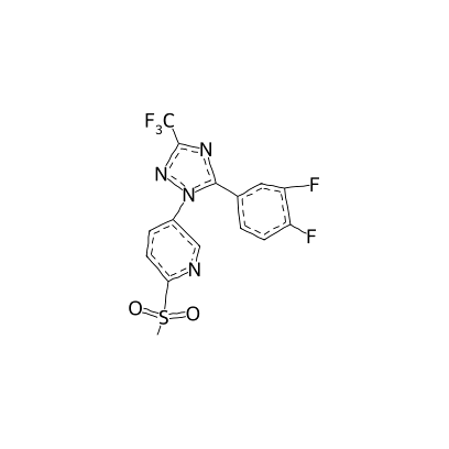 CS(=O)(=O)c1ccc(-n2nc(C(F)(F)F)nc2-c2ccc(F)c(F)c2)cn1